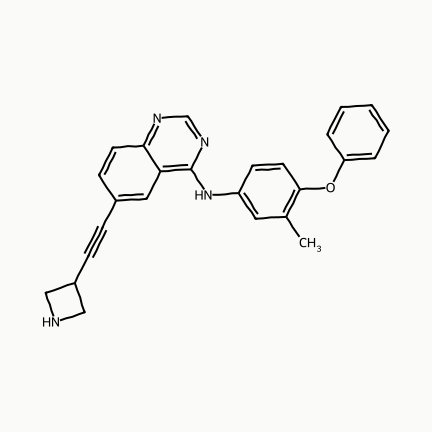 Cc1cc(Nc2ncnc3ccc(C#CC4CNC4)cc23)ccc1Oc1ccccc1